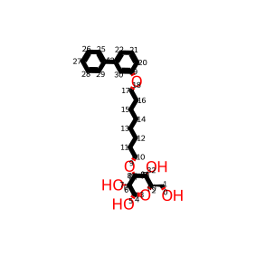 OC[C@H]1OC(O)[C@H](O)[C@@H](OCCCCCCCCOc2cccc(-c3ccccc3)c2)[C@@H]1O